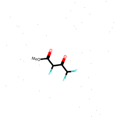 COC(=O)C(F)C(=O)C(F)F